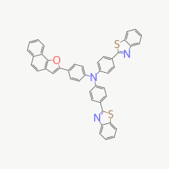 c1ccc2c(c1)ccc1cc(-c3ccc(N(c4ccc(-c5nc6ccccc6s5)cc4)c4ccc(-c5nc6ccccc6s5)cc4)cc3)oc12